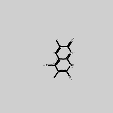 Cc1c(F)[nH]c2nc(=O)c(C)cc-2c1F